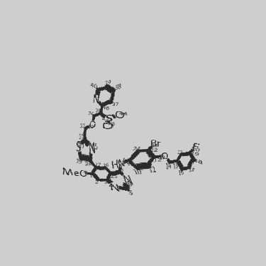 COc1cc2ncnc(Nc3ccc(OCc4cccc(F)c4)c(Br)c3)c2cc1-c1csc(COCC(c2ccccn2)=S(=O)=O)n1